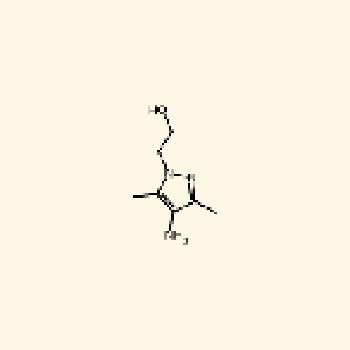 Cc1nn(CCO)c(C)c1N